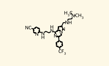 CN(C)CCNCc1cc2c(NCCNc3ccc(C#N)cn3)nc(-c3ccc(C(F)(F)F)cc3)cn2n1